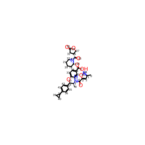 Cc1cc(C(=O)N[C@@H](C)[C@H](Oc2ccc(C(=O)O)c([C@@H]3CCCN(C(=O)[C@H]4COC(=O)C4)C3)c2)c2ccc(C3CC3)cc2)on1